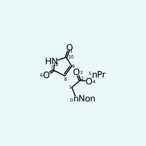 CCCCCCCCCCC(=O)OCCC.O=C1C=CC(=O)N1